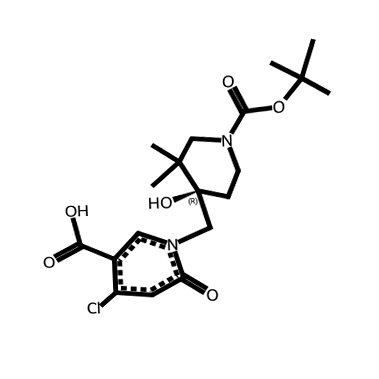 CC(C)(C)OC(=O)N1CC[C@](O)(Cn2cc(C(=O)O)c(Cl)cc2=O)C(C)(C)C1